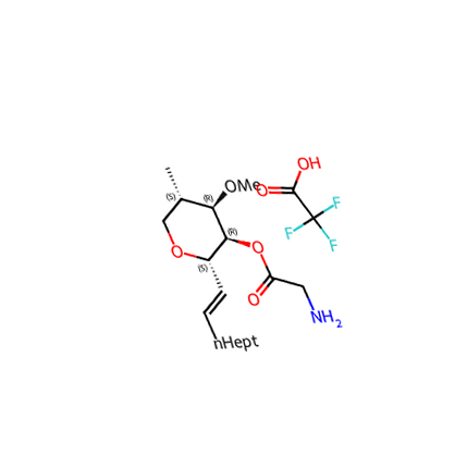 CCCCCCCC=C[C@@H]1OC[C@H](C)[C@@H](OC)[C@H]1OC(=O)CN.O=C(O)C(F)(F)F